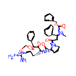 CN(C(=O)OCc1ccccc1)C(CC(=O)N1CCC[C@H]1C(=O)N[C@@H](CCCNC(=N)N)C(=O)C(O[C]=O)c1ccccc1)c1ccccc1